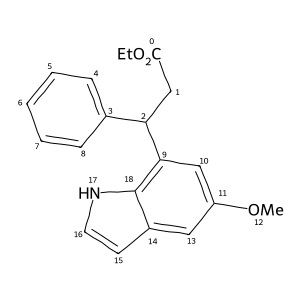 CCOC(=O)CC(c1ccccc1)c1cc(OC)cc2cc[nH]c12